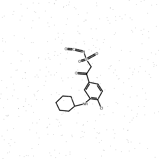 O=C=NS(=O)(=O)CC(=O)c1ccc(Cl)c(NC2CCCCC2)c1